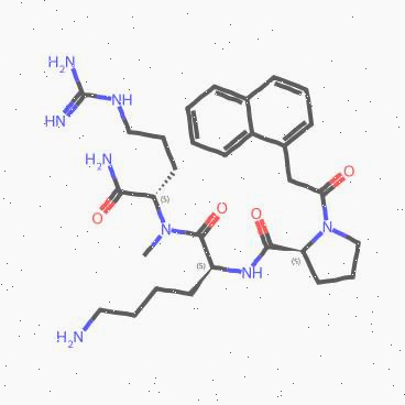 CN(C(=O)[C@H](CCCCN)NC(=O)[C@@H]1CCCN1C(=O)Cc1cccc2ccccc12)[C@@H](CCCNC(=N)N)C(N)=O